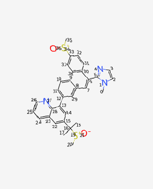 Cn1ccnc1C(=Cc1cccc(-c2cc(C(C)(C)[S+](C)[O-])cc3cccnc23)c1)c1ccc([S+](C)[O-])cc1